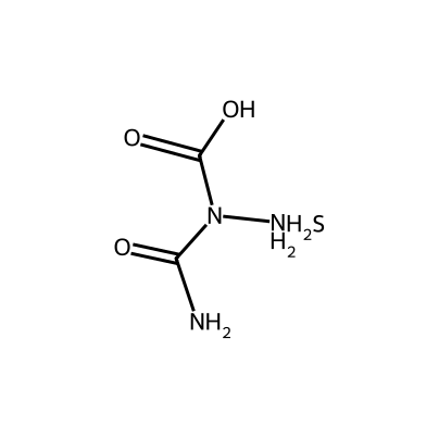 NC(=O)N(N)C(=O)O.S